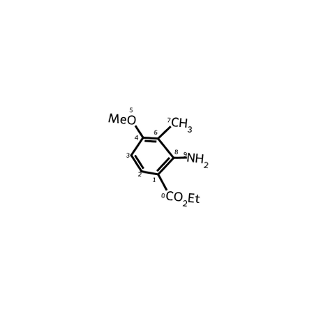 CCOC(=O)c1ccc(OC)c(C)c1N